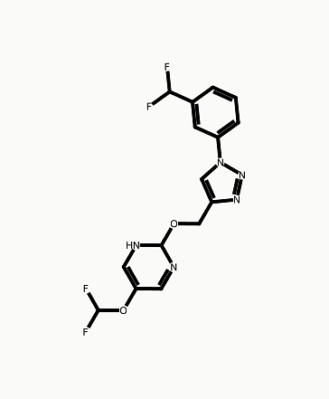 FC(F)OC1=CNC(OCc2cn(-c3cccc(C(F)F)c3)nn2)N=C1